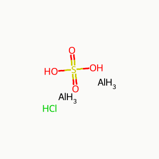 Cl.O=S(=O)(O)O.[AlH3].[AlH3]